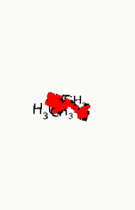 CC1(C)c2ccccc2-c2ccc(N(c3ccccc3-c3ccccc3)c3cccc4c3C3(c5ccccc5-c5ccccc53)c3c-4cccc3N(c3ccc4c(c3)C(C)(C)c3ccc(-c5ccc(-c6ccc7c(c6)c6cc(-c8ccccc8)ccc6n7-c6cccc7c6C6(c8ccccc8-c8ccccc86)c6ccccc6-7)cc5)cc3-4)c3ccccc3-c3ccccc3)cc21